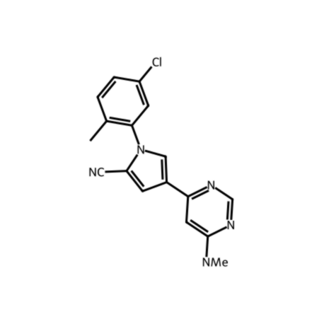 CNc1cc(-c2cc(C#N)n(-c3cc(Cl)ccc3C)c2)ncn1